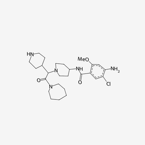 COc1cc(N)c(Cl)cc1C(=O)NC1CCN(C(C(=O)N2CCCCCC2)C2CCNCC2)CC1